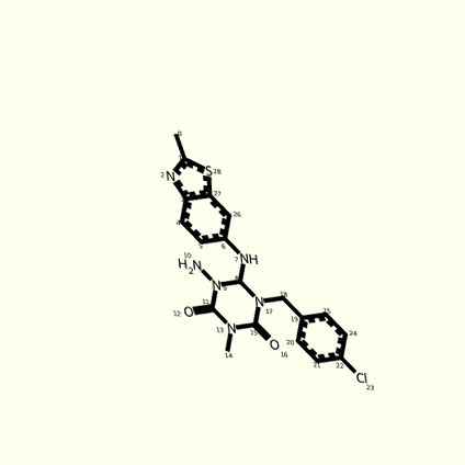 Cc1nc2ccc(NC3N(N)C(=O)N(C)C(=O)N3Cc3ccc(Cl)cc3)cc2s1